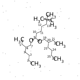 CCCCC(CC)COC(CCCCC(C)(C)C)OCC(CC)CCCC